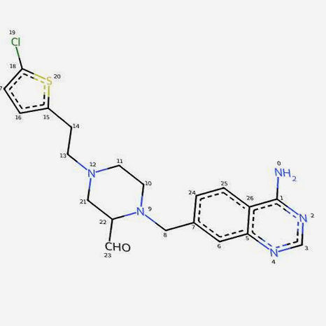 Nc1ncnc2cc(CN3CCN(CCc4ccc(Cl)s4)CC3C=O)ccc12